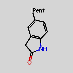 CCCC(C)c1ccc2c(c1)CC(=O)N2